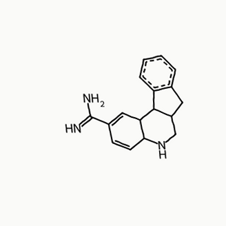 N=C(N)C1=CC2C(C=C1)NCC1Cc3ccccc3C12